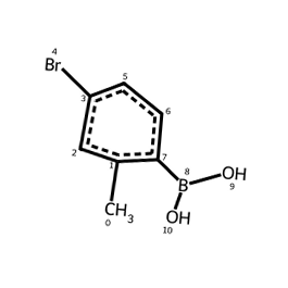 Cc1cc(Br)ccc1B(O)O